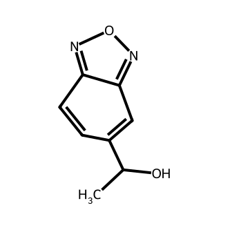 CC(O)c1ccc2nonc2c1